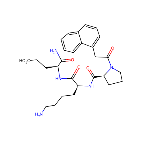 NCCCC[C@H](NC(=O)[C@@H]1CCCN1C(=O)Cc1cccc2ccccc12)C(=O)N[C@@H](CCC(=O)O)C(N)=O